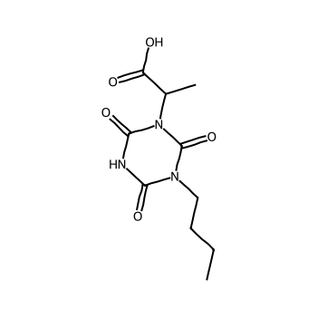 CCCCn1c(=O)[nH]c(=O)n(C(C)C(=O)O)c1=O